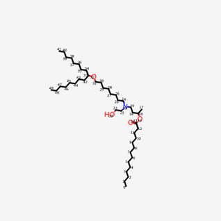 CCCCCCCCCCCCCC(=O)OC(C)CCN(CCO)CCCCCCCCOC(CCCCCCCC)CCCCCCCC